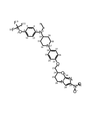 CCN(c1ccc(OC(F)(F)F)cc1)C1CCN(c2ccc(OCC3CCn4cc([N+](=O)[O-])nc4O3)cc2)CC1